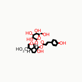 O=C(/C=C/c1ccc(O)cc1)OC[C@@]1(O)CC[C@@H]2C(C(=O)O)=CO[C@@H](O[C@@H]3O[C@H](CO)[C@@H](O)[C@H](O)[C@H]3O)[C@@H]21